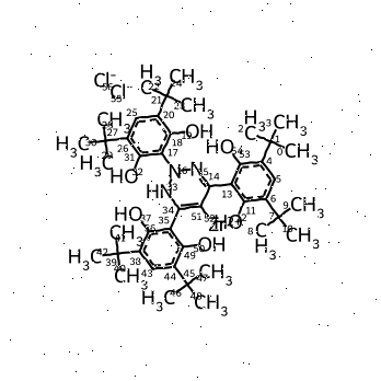 CC(C)(C)c1cc(C(C)(C)C)c(O)c(C2=NN(c3c(O)c(C(C)(C)C)cc(C(C)(C)C)c3O)NC(c3c(O)c(C(C)(C)C)cc(C(C)(C)C)c3O)=[C]2[Zr+2])c1O.[Cl-].[Cl-]